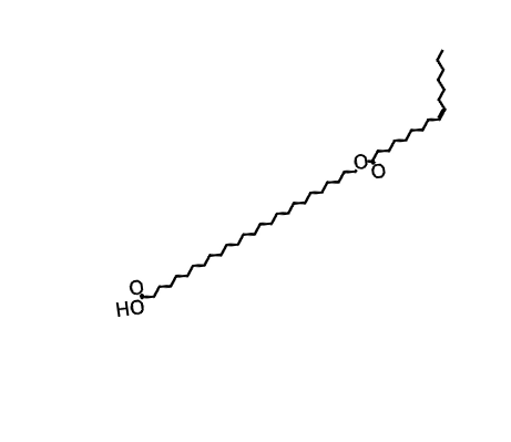 CCCCCC/C=C\CCCCCCCC(=O)OCCCCCCCCCCCCCCCCCCCCCCCCCC(=O)O